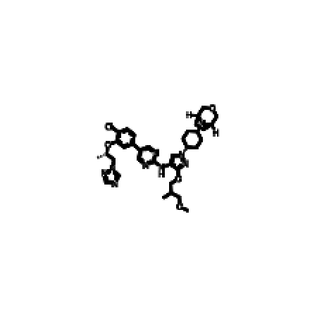 COCC(C)COc1nn([C@H]2CC[C@H](N3[C@@H]4CC[C@H]3COC4)CC2)cc1Nc1ncc(-c2ccc(Cl)c(O[C@@H](C)Cn3cncn3)c2)cn1